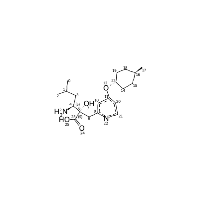 CC(C)C[C@H](N)[C@@](O)(Cc1cc(O[C@H]2CC[C@H](C)CC2)ccn1)C(=O)O